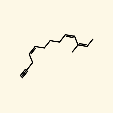 C#CC/C=C\CCC/C=C\C(C)=C/C